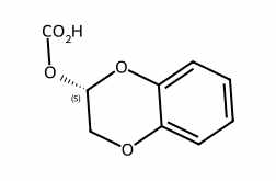 O=C(O)O[C@H]1COc2ccccc2O1